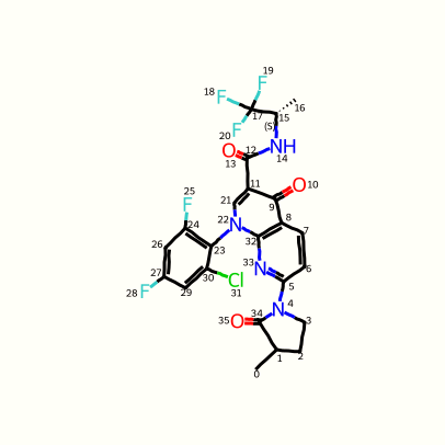 CC1CCN(c2ccc3c(=O)c(C(=O)N[C@@H](C)C(F)(F)F)cn(-c4c(F)cc(F)cc4Cl)c3n2)C1=O